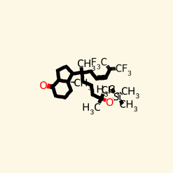 CC(C)(CCCC(C)(C/C=C\C(C(F)(F)F)C(F)(F)F)C1CCC2C(=O)CCC[C@@]21C)O[Si](C)(C)C